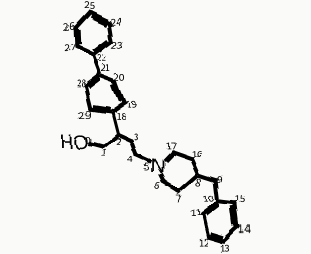 OCC(CCN1CCC(Cc2ccccc2)CC1)c1ccc(-c2ccccc2)cc1